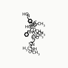 CC(=O)N[C@@H](C)c1nc(CN2CCN([C@H](C(=O)N[C@@H](Cc3ccccc3)[C@H](O)CN(CC(C)C)S(=O)(=O)c3ccc(C=NO)cc3)C(C)(C)C)C2=O)cs1